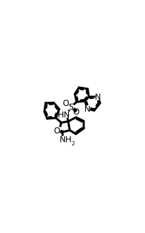 CC(c1ccccc1)C1(NS(=O)(=O)c2cccc3nccnc23)C=CC=CC1C(N)=O